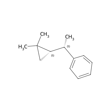 C[C@H](c1ccccc1)[C@@H]1CC1(C)C